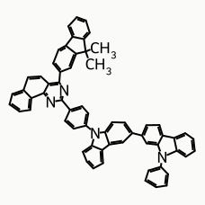 CC1(C)c2ccccc2-c2ccc(-c3nc(-c4ccc(-n5c6ccccc6c6cc(-c7ccc8c9ccccc9n(-c9ccccc9)c8c7)ccc65)cc4)nc4c3ccc3ccccc34)cc21